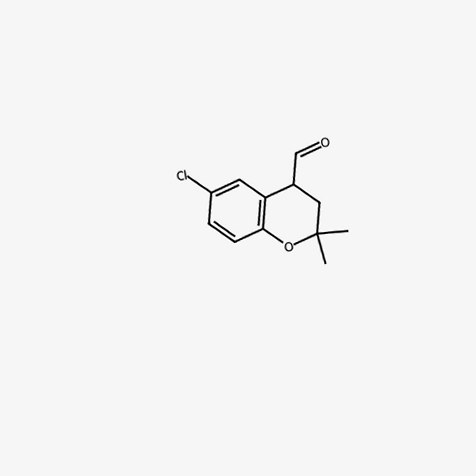 CC1(C)CC(C=O)c2cc(Cl)ccc2O1